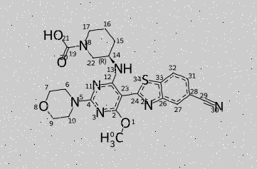 COc1nc(N2CCOCC2)nc(N[C@@H]2CCCN(C(=O)O)C2)c1-c1nc2cc(C#N)ccc2s1